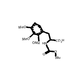 COc1ccc(CC(NC(=O)OC(C)(C)C)C(=O)O)c(OC)c1OC